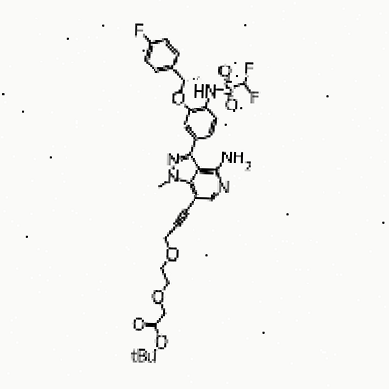 C[C@H](Oc1cc(-c2nn(C)c3c(C#CCOCCOCC(=O)OC(C)(C)C)cnc(N)c23)ccc1NS(=O)(=O)C(F)F)c1ccc(F)cc1